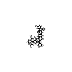 Cc1ccc2c(c1)C(=O)/C(=C\c1ccc3c4c(ccc3c1)N(c1ccccc1)c1ccc(-c3c(C(C)C)cccc3C(C)C)cc1C4(C)C)C2=O